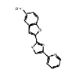 COc1ccc2oc(-c3nc(-c4ccccn4)cs3)cc2c1